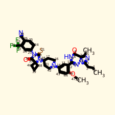 CCCc1nc(C)c2c(=O)[nH]c(-c3cc(N4CCC(N5C(=S)N(c6ccc(C#N)c(C(F)(F)F)c6)C(=O)C56CCC6)CC4)ccc3OCC)nn12